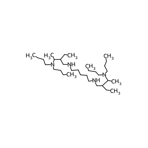 CCCCN(CCCC)C(C)C(CC)CNCCCCCNCC(CC)C(C)N(CCCC)CCCC